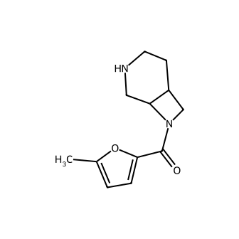 Cc1ccc(C(=O)N2CC3CCNCC32)o1